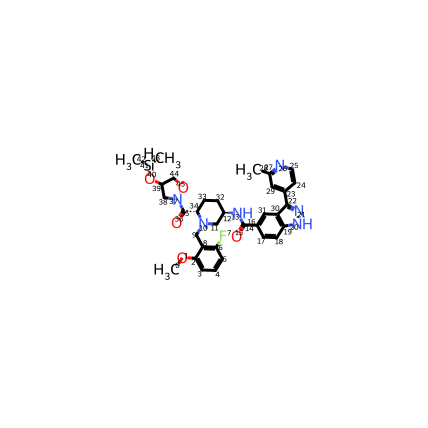 COc1cccc(F)c1CN1C[C@H](NC(=O)c2ccc3[nH]nc(-c4ccnc(C)c4)c3c2)CC[C@H]1C(=O)N1CC(O[SiH](C)C)CO1